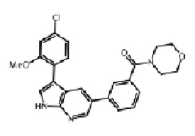 COc1cc(Cl)ccc1-c1c[nH]c2ncc(-c3cccc(C(=O)N4CCOCC4)c3)cc12